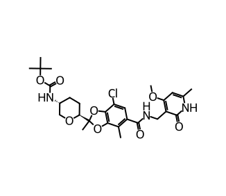 COc1cc(C)[nH]c(=O)c1CNC(=O)c1cc(Cl)c2c(c1C)OC(C)([C@@H]1CC[C@@H](NC(=O)OC(C)(C)C)CO1)O2